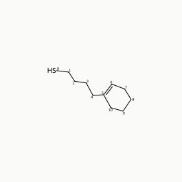 SCCCCC1=CCCCC1